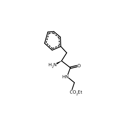 CCOC(=O)CNC(=O)[C@@H](N)Cc1ccccc1